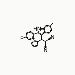 Cc1ccc2c(C(c3cccs3)C(C#N)C#N)c(-c3ccc(F)cc3)[nH]c2c1